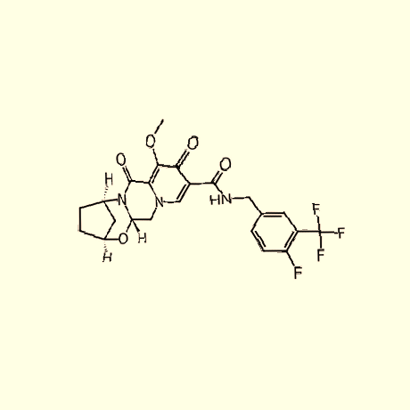 COc1c2n(cc(C(=O)NCc3ccc(F)c(C(F)(F)F)c3)c1=O)C[C@@H]1O[C@H]3CC[C@H](C3)N1C2=O